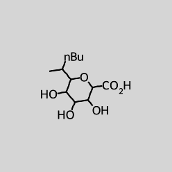 CCCCC(C)C1OC(C(=O)O)C(O)C(O)C1O